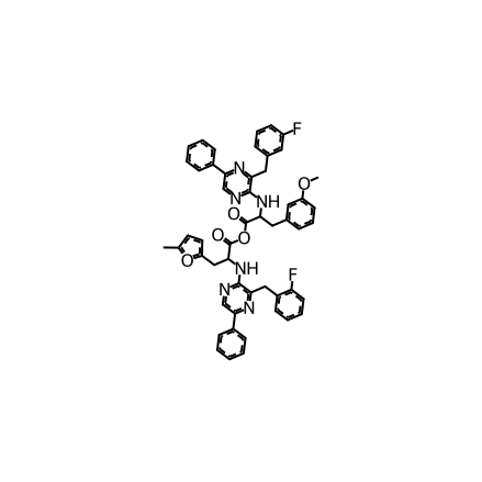 COc1cccc(CC(Nc2ncc(-c3ccccc3)nc2Cc2cccc(F)c2)C(=O)OC(=O)C(Cc2ccc(C)o2)Nc2ncc(-c3ccccc3)nc2Cc2ccccc2F)c1